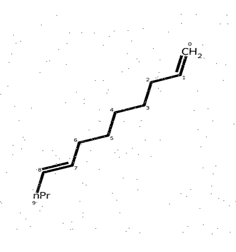 C=CCCCCCC=CCCC